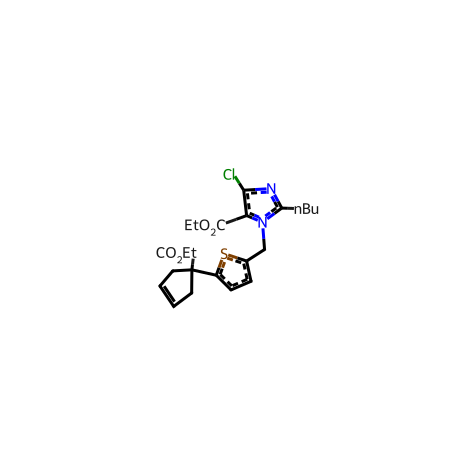 CCCCc1nc(Cl)c(C(=O)OCC)n1Cc1ccc(C2(C(=O)OCC)CC=CC2)s1